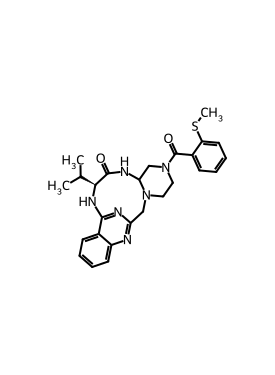 CSc1ccccc1C(=O)N1CCN2Cc3nc(c4ccccc4n3)N[C@@H](C(C)C)C(=O)NC2C1